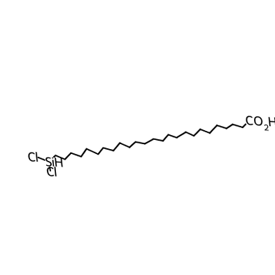 O=C(O)CCCCCCCCCCCCCCCCCCCCCCCC[SiH](Cl)Cl